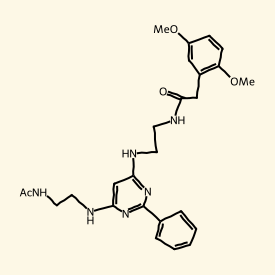 COc1ccc(OC)c(CC(=O)NCCNc2cc(NCCNC(C)=O)nc(-c3ccccc3)n2)c1